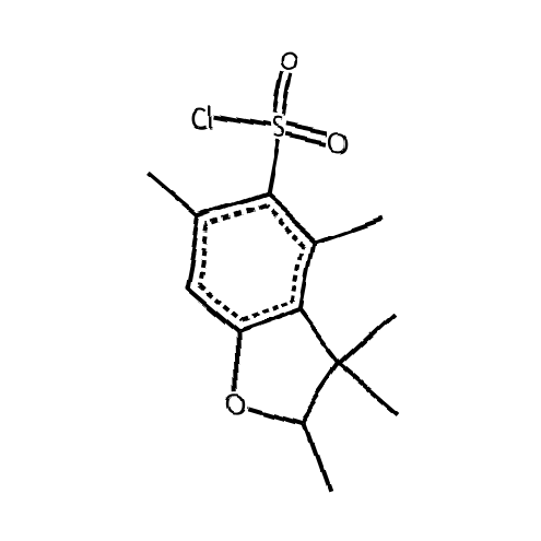 Cc1cc2c(c(C)c1S(=O)(=O)Cl)C(C)(C)C(C)O2